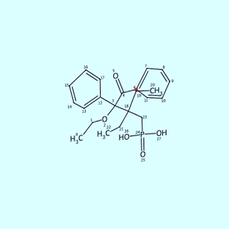 CCOC(C(=O)c1ccccc1)(c1ccccc1)C(CC)(CC)CP(=O)(O)O